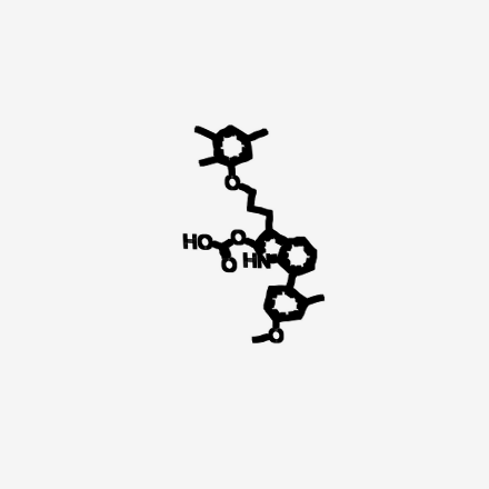 COc1ccc(-c2cccc3c(CCCOc4cc(C)cc(C)c4C)c(OC(=O)O)[nH]c23)c(C)c1